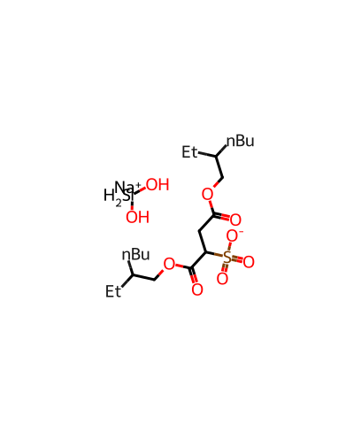 CCCCC(CC)COC(=O)CC(C(=O)OCC(CC)CCCC)S(=O)(=O)[O-].O[SiH2]O.[Na+]